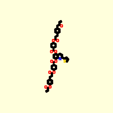 C=CC(=O)Cc1ccc(CCC(=O)O[C@H]2CC[C@H](C(=O)Oc3ccc(OC(=O)[C@H]4CC[C@H](OC(=O)CCc5ccc(OC(=O)C=C)cc5)CC4)c4nc(-c5cccs5)ccc34)CC2)cc1